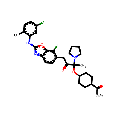 COC(=O)C1CCC(OC(C)(C(=O)Cc2ccc3nc(Nc4cc(F)ccc4C)oc3c2F)N2CCCC2)CC1